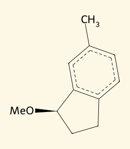 CO[C@@H]1CCc2ccc(C)cc21